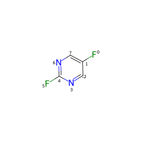 Fc1[c]nc(F)nc1